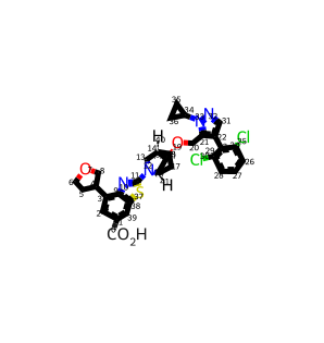 O=C(O)c1cc(C2CCOC2)c2nc(N3C[C@@H]4C[C@H]3C[C@H]4OCc3c(-c4c(Cl)cccc4Cl)cnn3C3CC3)sc2c1